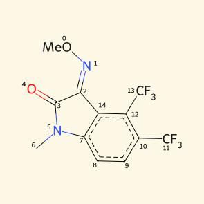 CON=C1C(=O)N(C)c2ccc(C(F)(F)F)c(C(F)(F)F)c21